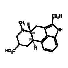 CN1CC(C(=O)O)C[C@@H]2c3cccc4[nH]c(C(=O)O)c(c34)C[C@H]21